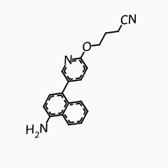 N#CCCCOc1ccc(-c2ccc(N)c3ccccc23)cn1